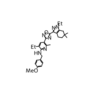 CCc1cc(-c2noc(-c3nn(CC)c4c3CCC(C)(C)C4)n2)c(C)nc1NCc1ccc(OC)cc1